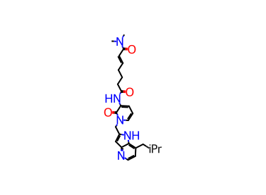 CC(C)Cc1ccnc2cc(Cn3cccc(NC(=O)CCC/C=C/C(=O)N(C)C)c3=O)[nH]c12